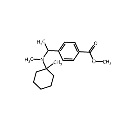 COC(=O)c1ccc(C(C)N(C)C2(C)CCCCC2)cc1